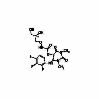 Cn1c(Nc2ccc(I)c(F)c2F)c(OC(=O)NOC[C@H](O)CO)c(=O)n(C)c1=O